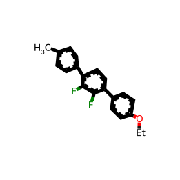 CCOc1ccc(-c2ccc(-c3ccc(C)cc3)c(F)c2F)cc1